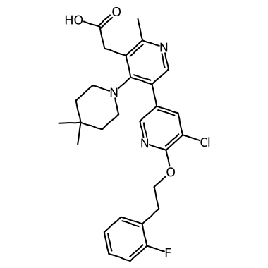 Cc1ncc(-c2cnc(OCCc3ccccc3F)c(Cl)c2)c(N2CCC(C)(C)CC2)c1CC(=O)O